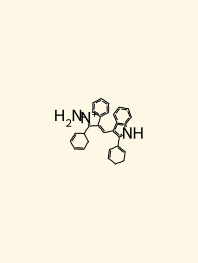 N[N+]1=C(C2C=CC=CC2)/C(=C/c2c(C3=CCCC=C3)[nH]c3ccccc23)c2ccccc21